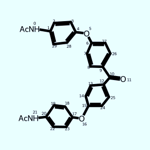 CC(=O)Nc1ccc(Oc2ccc(C(=O)c3ccc(Oc4ccc(NC(C)=O)cc4)cc3)cc2)cc1